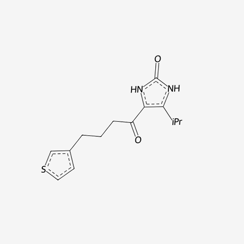 CC(C)c1[nH]c(=O)[nH]c1C(=O)CCCc1ccsc1